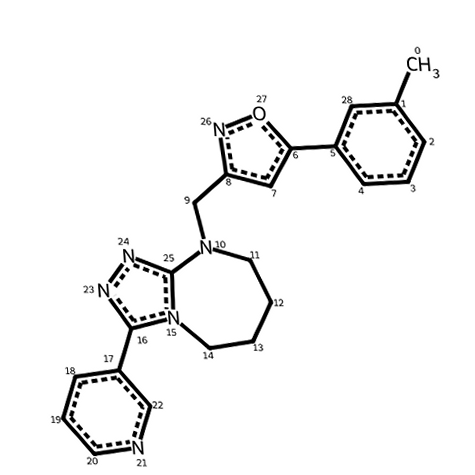 Cc1cccc(-c2cc(CN3CCCCn4c(-c5cccnc5)nnc43)no2)c1